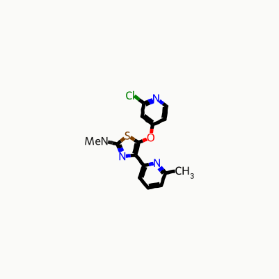 CNc1nc(-c2cccc(C)n2)c(Oc2ccnc(Cl)c2)s1